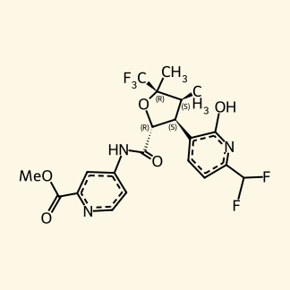 COC(=O)c1cc(NC(=O)[C@@H]2O[C@@](C)(C(F)(F)F)[C@@H](C)[C@H]2c2ccc(C(F)F)nc2O)ccn1